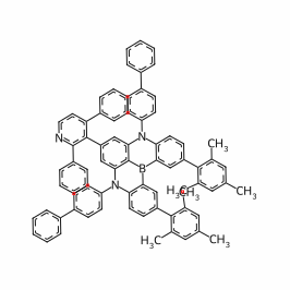 Cc1cc(C)c(-c2ccc3c(c2)B2c4cc(-c5c(C)cc(C)cc5C)ccc4N(c4ccc(-c5ccccc5)cc4)c4cc(-c5c(-c6ccccc6)ccnc5-c5ccccc5)cc(c42)N3c2ccc(-c3ccccc3)cc2)c(C)c1